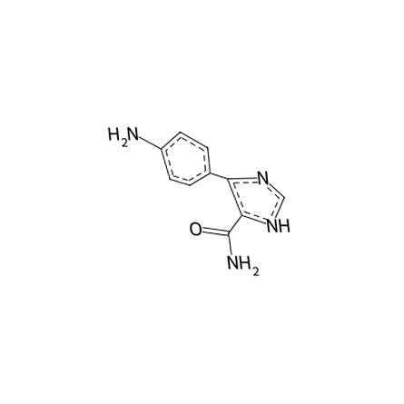 NC(=O)c1[nH]cnc1-c1ccc(N)cc1